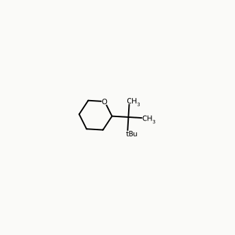 CC(C)(C)C(C)(C)C1CCCCO1